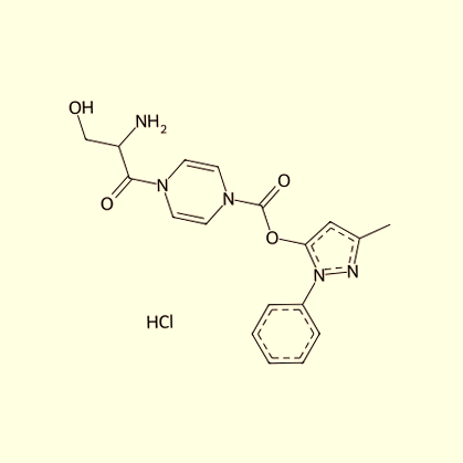 Cc1cc(OC(=O)N2C=CN(C(=O)C(N)CO)C=C2)n(-c2ccccc2)n1.Cl